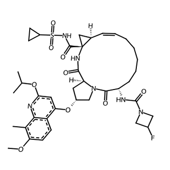 COc1ccc2c(O[C@@H]3C[C@H]4C(=O)N[C@]5(C(=O)NS(=O)(=O)C6CC6)C[C@H]5/C=C\CCCCC[C@H](NC(=O)N5CC(F)C5)C(=O)N4C3)cc(OC(C)C)nc2c1C